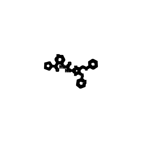 O=C(Nc1nc(CSc2ccccc2)c(Sc2ccccn2)s1)Nc1ccncc1C(=O)C1CCCC1